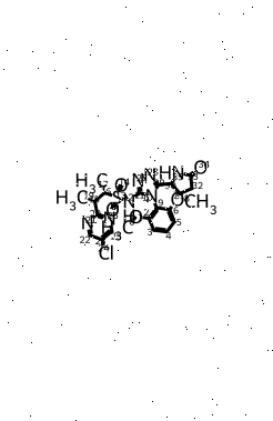 COc1cccc(OC)c1-n1c(NS(=O)(=O)[C@@H](C)[C@H](C)c2ncc(Cl)cn2)nnc1C1CCC(=O)N1